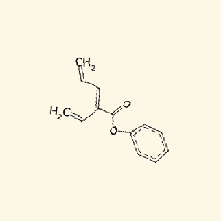 C=C/C=C(\C=C)C(=O)Oc1ccccc1